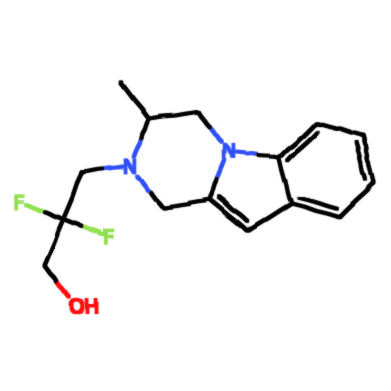 CC1Cn2c(cc3ccccc32)CN1CC(F)(F)CO